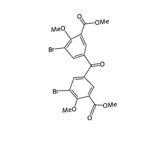 COC(=O)c1cc(C(=O)c2cc(Br)c(OC)c(C(=O)OC)c2)cc(Br)c1OC